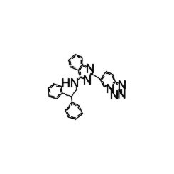 c1ccc(C(CNc2nc(-c3ccc4nnnn4c3)nc3ccccc23)c2ccccc2)cc1